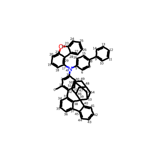 Cc1cc(N(c2ccc(-c3ccccc3)cc2)c2cccc3oc4ccccc4c23)ccc1-c1cccc2c1C1(c3ccccc3-2)C2CC3CC(C2)CC1C3